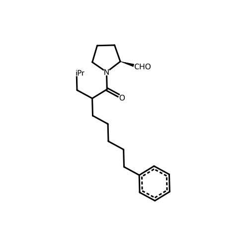 CC(C)CC(CCCCCc1ccccc1)C(=O)N1CCC[C@H]1C=O